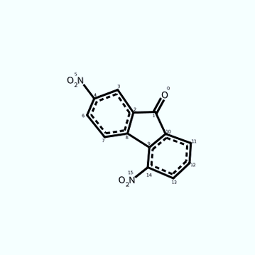 O=C1c2cc([N+](=O)[O-])ccc2-c2c1cccc2[N+](=O)[O-]